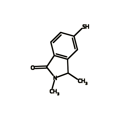 CC1c2cc(S)ccc2C(=O)N1C